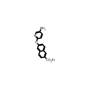 CCOC(=O)c1ccc2cc(Oc3ccc(N)cn3)ccc2c1